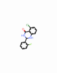 O=C1NC(c2ccccc2F)Nc2cccc(Cl)c21